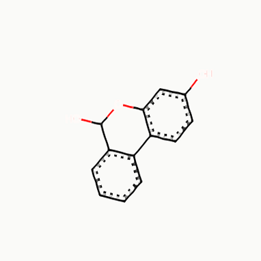 Oc1ccc2c(c1)OC(O)c1ccccc1-2